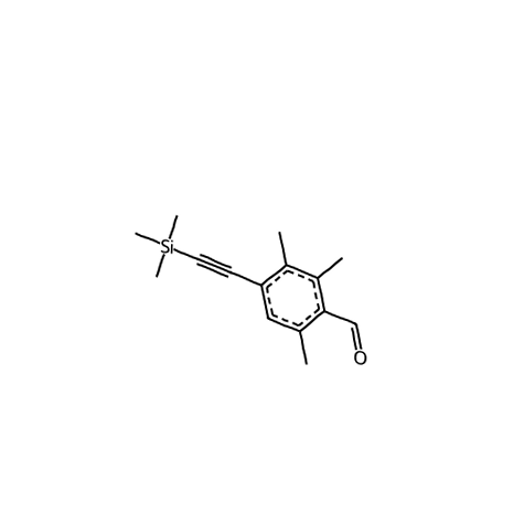 Cc1cc(C#C[Si](C)(C)C)c(C)c(C)c1C=O